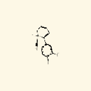 N#CC1(F)CC=CC=C1c1ccc(F)c(F)c1